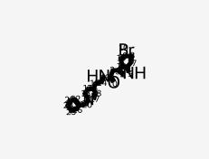 O=C(Cc1c[nH]c2ccc(Br)cc12)NCCC1CCN(Cc2ccccc2)CC1